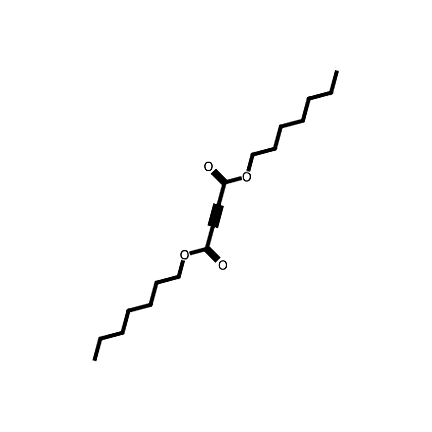 CCCCCCCOC(=O)C#CC(=O)OCCCCCCC